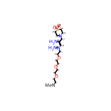 CNCCOCCOCCOCCN(N)/C=C(\N)CN1CCS(=O)(=O)CC1